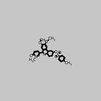 CCOc1cc2c(cc1OC)C(c1ccc(=O)n(C)c1)=NC1CCC(OS(=O)(=O)c3ccc(C)cc3)CC21